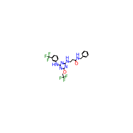 O=C(CCNc1nc(Nc2cccc(C(F)(F)F)c2)nc(OCC(F)(F)F)n1)NCc1ccccc1